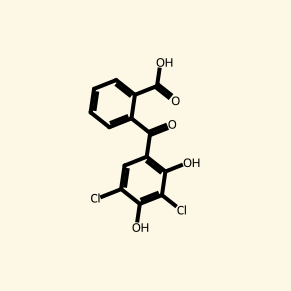 O=C(O)c1ccccc1C(=O)c1cc(Cl)c(O)c(Cl)c1O